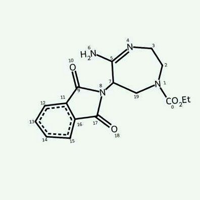 CCOC(=O)N1CCN=C(N)C(N2C(=O)c3ccccc3C2=O)C1